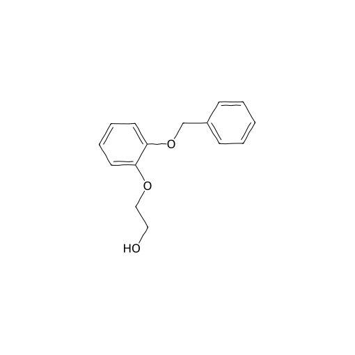 OCCOc1ccccc1OCc1ccccc1